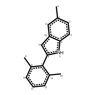 Cc1ccc2[nH]c(-c3c(C)cccc3C)cc2c1